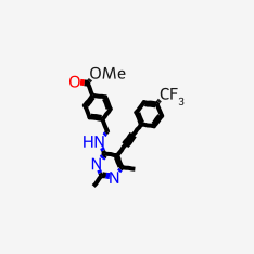 COC(=O)c1ccc(CNc2nc(C)nc(C)c2C#Cc2ccc(C(F)(F)F)cc2)cc1